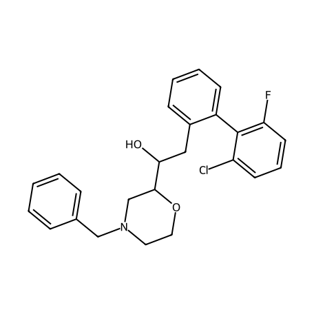 OC(Cc1ccccc1-c1c(F)cccc1Cl)C1CN(Cc2ccccc2)CCO1